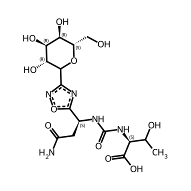 CC(O)[C@H](NC(=O)N[C@@H](CC(N)=O)c1nc(C2O[C@@H](CO)[C@H](O)[C@H](O)[C@H]2O)no1)C(=O)O